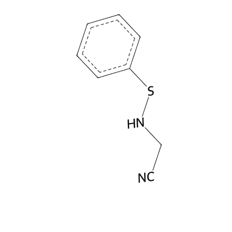 N#CCNSc1ccccc1